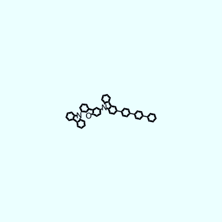 c1ccc(-c2ccc(-c3ccc(-c4ccc5c(c4)c4ccccc4n5-c4ccc5oc6c(-n7c8ccccc8c8ccccc87)cccc6c5c4)cc3)cc2)cc1